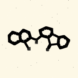 O=C1c2ccccc2-c2cccc(Nc3ccc4ccccc4c3Cl)c21